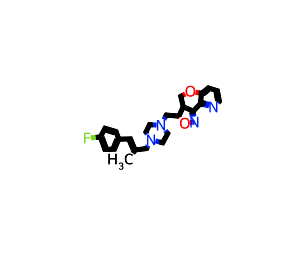 CC(=Cc1ccc(F)cc1)CN1CCN(CC2ON=C3c4ncccc4OCC32)CC1